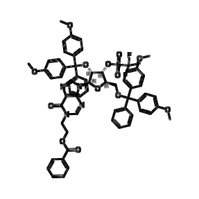 COc1ccc(C(OC[C@H]2O[C@@H](n3cnc4c(=O)n(CCOC(=O)c5ccccc5)cnc43)[C@H](OC(c3ccccc3)(c3ccc(OC)cc3)c3ccc(OC)cc3)[C@@H]2OS(=O)(=O)C(F)(F)F)(c2ccccc2)c2ccc(OC)cc2)cc1